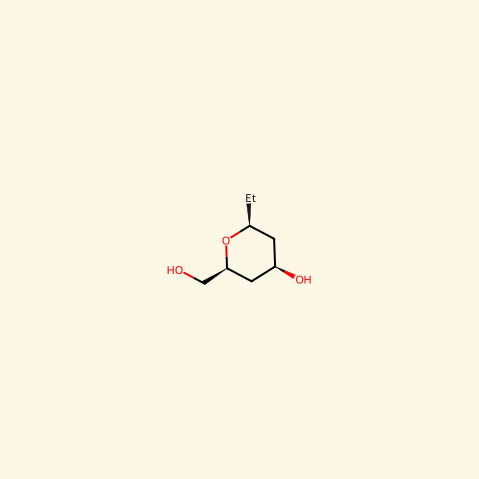 CC[C@H]1C[C@@H](O)C[C@@H](CO)O1